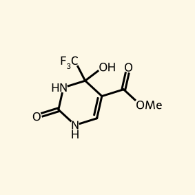 COC(=O)C1=CNC(=O)NC1(O)C(F)(F)F